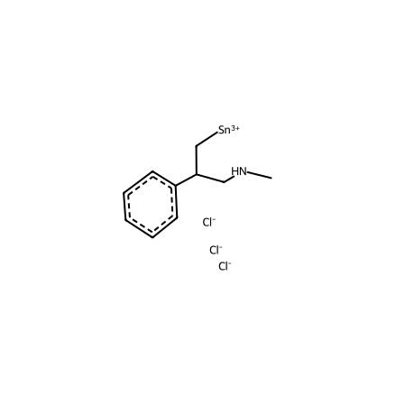 CNCC([CH2][Sn+3])c1ccccc1.[Cl-].[Cl-].[Cl-]